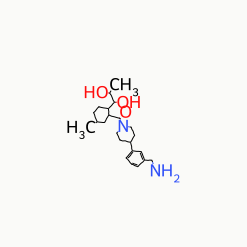 CC1CCC(C(O)C(C)O)C(C(=O)N2CCC(c3cccc(CN)c3)CC2)C1